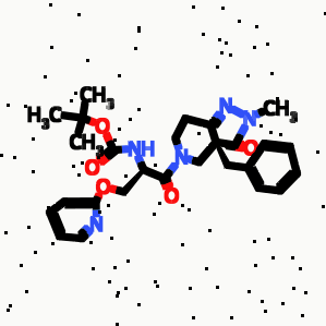 CN1N=C2CCN(C(=O)[C@@H](COc3ccccn3)NC(=O)OC(C)(C)C)C[C@@]2(Cc2ccccc2)C1=O